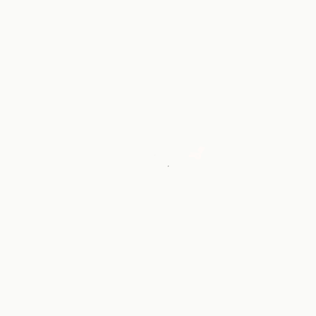 [CH]1CC(c2ccccc2)(c2ccccc2)[C@@H]1c1ccco1